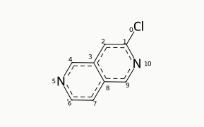 Clc1cc2cn[c]cc2cn1